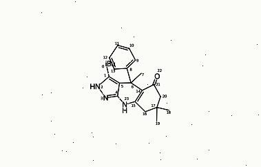 CCC(C)c1[nH]nc2c1C(C)(c1ccccc1)C1=C(CC(C)(C)CC1=O)N2